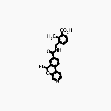 CCC1Oc2cnccc2-c2ccc(C(=O)NCc3cccc(C(=O)O)c3C)cc21